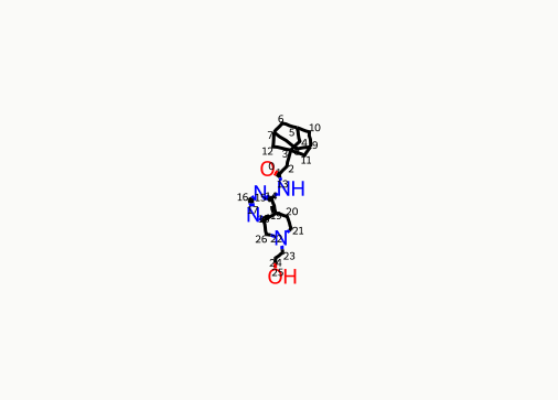 O=C(CC12CC3CC(CC(C3)C1)C2)Nc1ncnc2c1CCN(CCO)C2